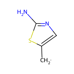 [CH2]c1cnc(N)s1